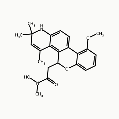 COc1cccc2c1-c1ccc3c(c1C(CC(=O)N(C)O)O2)C(C)=CC(C)(C)N3